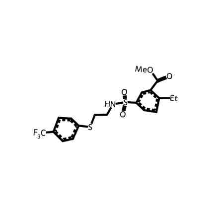 CCc1ccc(S(=O)(=O)NCCSc2ccc(C(F)(F)F)cc2)cc1C(=O)OC